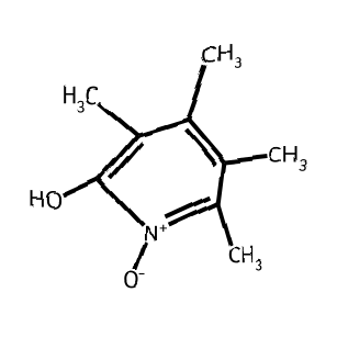 Cc1c(C)c(C)[n+]([O-])c(O)c1C